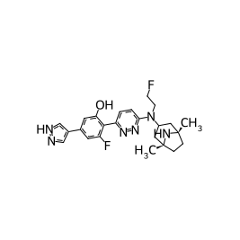 C[C@]12CC[C@](C)(CC(N(CCF)c3ccc(-c4c(O)cc(-c5cn[nH]c5)cc4F)nn3)C1)N2